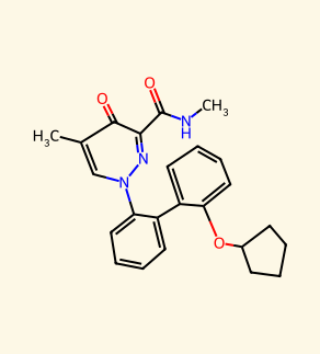 CNC(=O)c1nn(-c2ccccc2-c2ccccc2OC2CCCC2)cc(C)c1=O